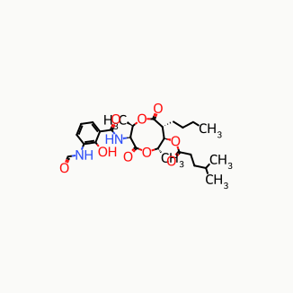 CCCC[C@H]1C(=O)O[C@H](C)[C@H](NC(=O)c2cccc(NC=O)c2O)C(=O)O[C@@H](C)[C@@H]1OC(=O)CCC(C)C